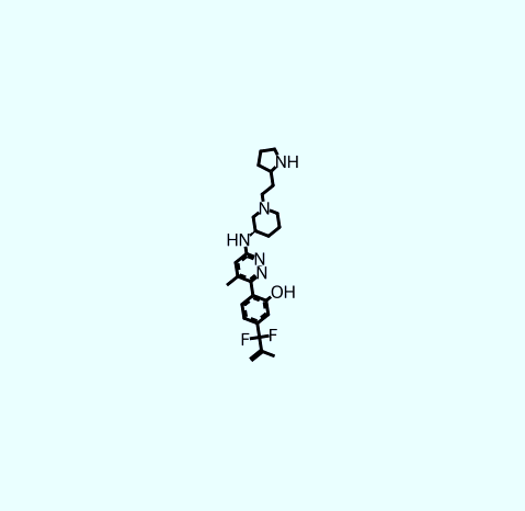 C=C(C)C(F)(F)c1ccc(-c2nnc(N[C@@H]3CCCN(CCC4CCCN4)C3)cc2C)c(O)c1